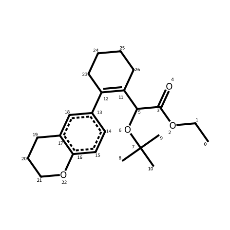 CCOC(=O)C(OC(C)(C)C)C1=C(c2ccc3c(c2)CCCO3)CCCC1